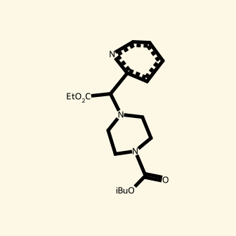 CCOC(=O)C(c1ccccn1)N1CCN(C(=O)OCC(C)C)CC1